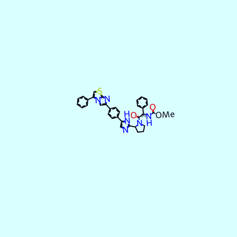 COC(=O)N[C@@H](C(=O)N1CCCC1c1ncc(-c2ccc(-c3cn4c(-c5ccccc5)csc4n3)cc2)[nH]1)c1ccccc1